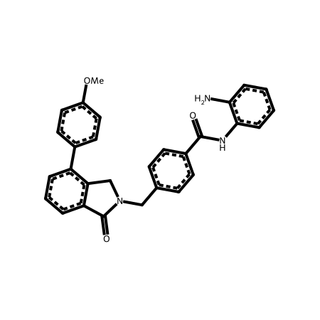 COc1ccc(-c2cccc3c2CN(Cc2ccc(C(=O)Nc4ccccc4N)cc2)C3=O)cc1